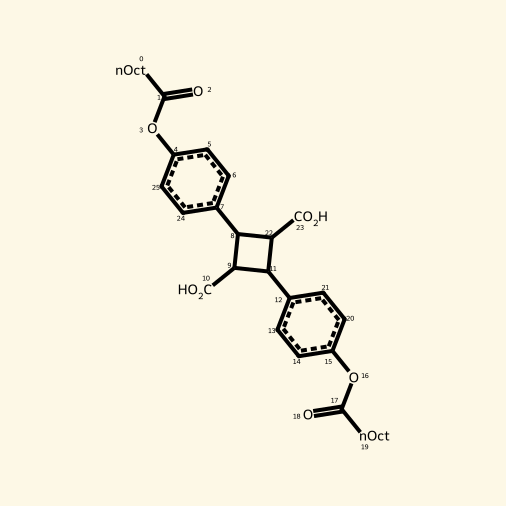 CCCCCCCCC(=O)Oc1ccc(C2C(C(=O)O)C(c3ccc(OC(=O)CCCCCCCC)cc3)C2C(=O)O)cc1